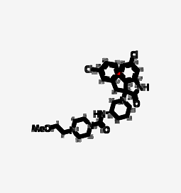 COCCN1CCN(C(=O)N[C@H]2CCCN(C3(Cc4cccc(Cl)c4)C(=O)Nc4cc(Cl)ccc43)C2)CC1